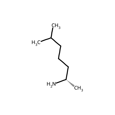 CC(C)CCC[C@H](C)N